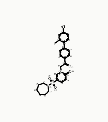 Cc1cc(Cl)ccc1-c1ccc(C(=O)Cn2cc(S(=O)(=O)N3CCCCCC3)ccc2=O)cc1